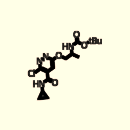 CC(COc1cc(C(=O)NC2CC2)c(Cl)nn1)NC(=O)OC(C)(C)C